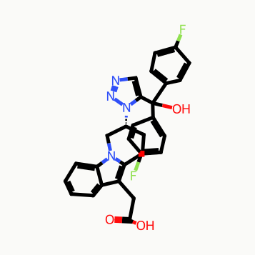 O=C(O)Cc1c2n(c3ccccc13)C[C@H](n1nncc1C(O)(c1ccc(F)cc1)c1ccc(F)cc1)CC2